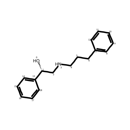 O[C@H](CNCCCc1ccccc1)c1ccccc1